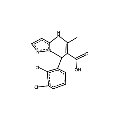 CC1=C(C(=O)O)C(c2cccc(Cl)c2Cl)n2nccc2N1